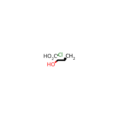 C=CCO.O=C(O)Cl